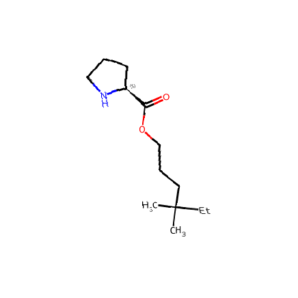 CCC(C)(C)CCCOC(=O)[C@@H]1CCCN1